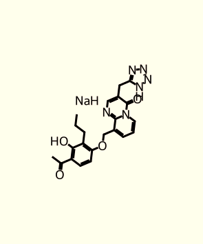 CCCc1c(OCc2cccn3c(=O)c(Cc4nnn[nH]4)cnc23)ccc(C(C)=O)c1O.[NaH]